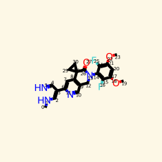 CN/C=C(\C=N)c1cc2c(cn1)CN(c1c(F)c(OC)cc(OC)c1F)C(=O)C21CC1